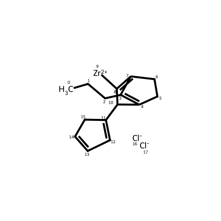 CCCC1=C2CCC1=[C]([Zr+2])C2C1=CC=CC1.[Cl-].[Cl-]